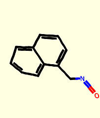 O=NCc1cccc2ccccc12